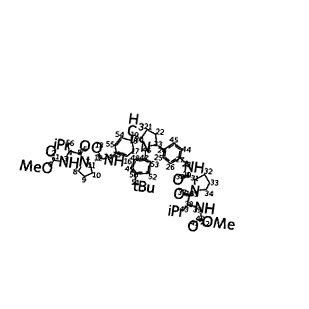 COC(=O)N[C@H](C(=O)N1CCC[C@H]1C(=O)NC1=CCC(C)([C@@H]2CC[C@@H](c3ccc(NC(=O)[C@@H]4CCCN4C(=O)[C@@H](NC(=O)OC)C(C)C)cc3)N2c2ccc(C(C)(C)C)cc2)C=C1)C(C)C